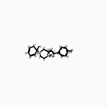 CC1(N2CCn3nc(-c4ccc(F)cc4)cc3C2)C=CC=CC1